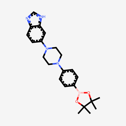 CC1(C)OB(c2ccc(N3CCN(c4ccc5nc[nH]c5c4)CC3)cc2)OC1(C)C